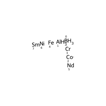 B.[AlH3].[Co].[Cr].[Fe].[Nd].[Ni].[Sm]